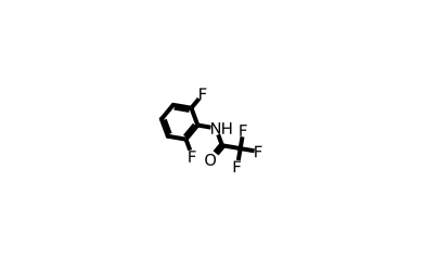 O=C(Nc1c(F)cccc1F)C(F)(F)F